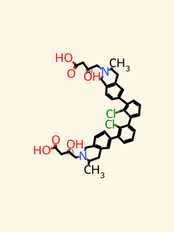 CC1Cc2cc(-c3cccc(-c4cccc(-c5ccc6c(c5)CC(C)N(C[C@@H](O)CC(=O)O)C6)c4Cl)c3Cl)ccc2CN1C[C@@H](O)CC(=O)O